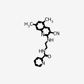 Cc1cc(C)c2cc(C#N)c(NCCNC(=O)c3ccccn3)nc2c1